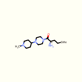 CSCC[C@@H](N)C(=O)N1CCN(C2CCN(C)CC2)CC1